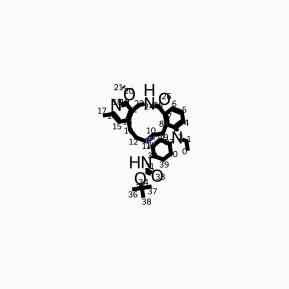 CCN(c1cccc2c1C/C=C/CCc1cc(C)nc(OC)c1CNC2=O)[C@H]1CC[C@@H](NC(=O)OC(C)(C)C)CC1